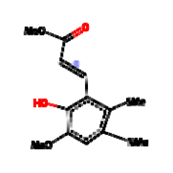 CNc1cc(OC)c(O)c(/C=C/C(=O)OC)c1SC